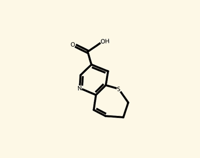 O=C(O)c1cnc2c(c1)SCCC=C2